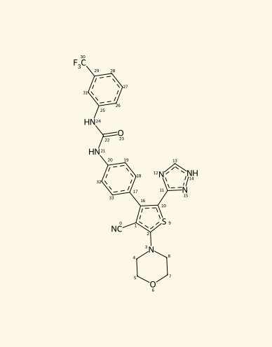 N#Cc1c(N2CCOCC2)sc(-c2nc[nH]n2)c1-c1ccc(NC(=O)Nc2cccc(C(F)(F)F)c2)cc1